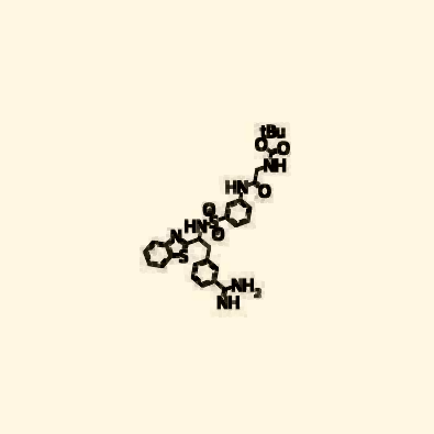 CC(C)(C)OC(=O)NCC(=O)Nc1cccc(S(=O)(=O)NC(Cc2cccc(C(=N)N)c2)c2nc3ccccc3s2)c1